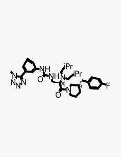 CC(C)CN(CC(C)C)[C@H](CNC(=O)Nc1cccc(-c2nnnn2C)c1)C(=O)N1CCC[C@@H](Cc2ccc(F)cc2)C1